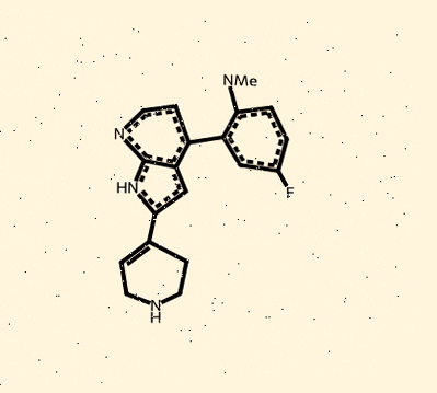 CNc1ccc(F)cc1-c1ccnc2[nH]c(C3=CCNCC3)cc12